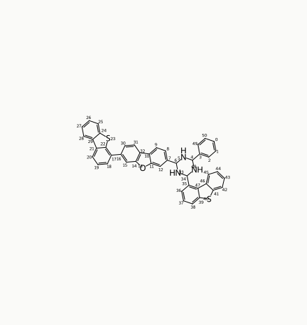 c1ccc(C2NC(c3ccc4c(c3)oc3cc(-c5cccc6c5sc5ccccc56)ccc34)NC(c3cccc4sc5ccccc5c34)N2)cc1